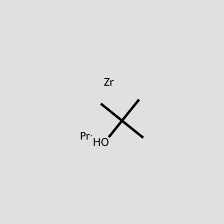 CC(C)(C)O.[Pr].[Zr]